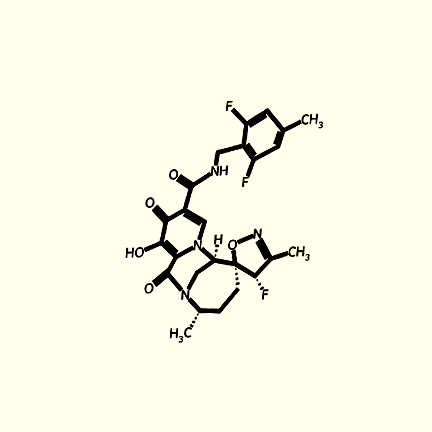 CC1=NO[C@@]2(CC[C@H](C)N3C[C@H]2n2cc(C(=O)NCc4c(F)cc(C)cc4F)c(=O)c(O)c2C3=O)[C@H]1F